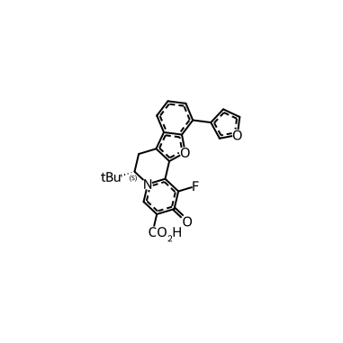 CC(C)(C)[C@@H]1Cc2c(oc3c(-c4ccoc4)cccc23)-c2c(F)c(=O)c(C(=O)O)cn21